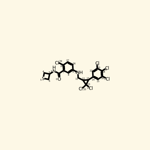 O=C(NC1CSC1)c1cc(NCC2C(c3cc(Cl)c(Cl)c(Cl)c3)C2(Cl)Cl)ccc1Cl